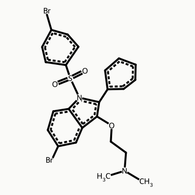 CN(C)CCOc1c(-c2ccccc2)n(S(=O)(=O)c2ccc(Br)cc2)c2ccc(Br)cc12